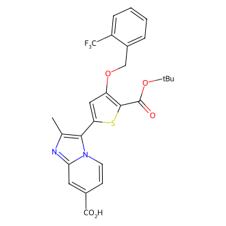 Cc1nc2cc(C(=O)O)ccn2c1-c1cc(OCc2ccccc2C(F)(F)F)c(C(=O)OC(C)(C)C)s1